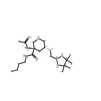 CCCCNC(=O)[C@]1(NC(C)=O)COC[C@H](CCB2OC(C)(C)C(C)(C)O2)C1